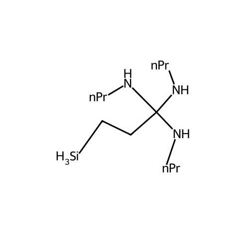 CCCNC(CC[SiH3])(NCCC)NCCC